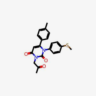 CSc1ccc(-n2c(-c3ccc(C)cc3)cc(=O)n(CC(C)=O)c2=O)cc1